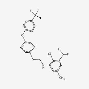 Cc1nc(NCCc2ccc(Oc3ccc(C(F)(F)F)cn3)cc2)c(Cl)c(C(F)F)n1